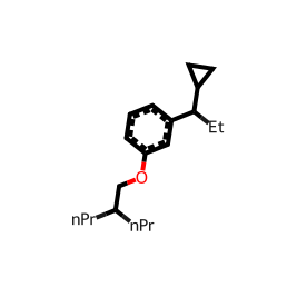 CCCC(CCC)COc1cccc(C(CC)C2CC2)c1